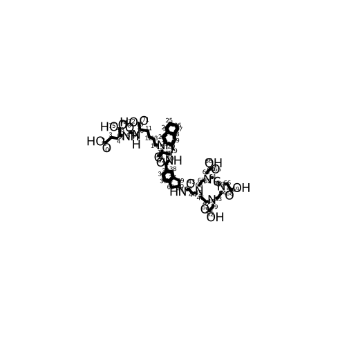 O=C(O)CC[C@H](NC(=O)NC(CCCCNC(=O)[C@H](Cc1ccc2ccccc2c1)NC(=O)c1ccc2c(c1)CC(NC(=O)CN1CCN(CC(=O)O)CCN(CC(=O)O)CCN(CC(=O)O)CC1)C2)C(=O)O)C(=O)O